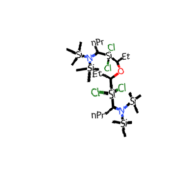 CCCC(N([Si](C)(C)C)[Si](C)(C)C)[Si](Cl)(Cl)C(CC)OC(CC)[Si](Cl)(Cl)C(CCC)N([Si](C)(C)C)[Si](C)(C)C